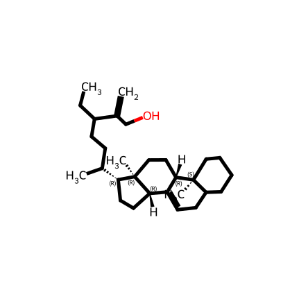 C=C(CO)C(CC)CCC(C)[C@H]1CC[C@H]2C3=CCC4CCCC[C@]4(C)[C@H]3CC[C@]12C